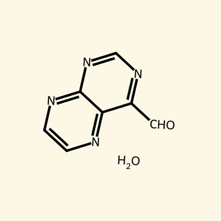 O.O=Cc1ncnc2nccnc12